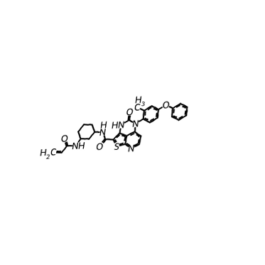 C=CC(=O)NC1CCCC(NC(=O)c2sc3nccc4c3c2NC(=O)N4c2ccc(Oc3ccccc3)cc2C)C1